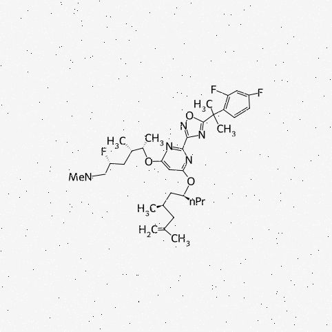 C=C(C)C[C@@H](C)C[C@H](CCC)Oc1cc(O[C@@H](C)[C@@H](C)C[C@@H](F)CNC)nc(-c2noc(C(C)(C)c3ccc(F)cc3F)n2)n1